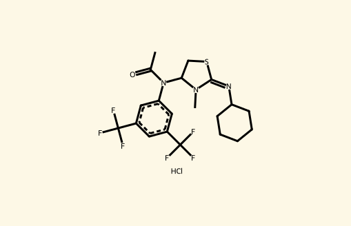 CC(=O)N(c1cc(C(F)(F)F)cc(C(F)(F)F)c1)C1CSC(=NC2CCCCC2)N1C.Cl